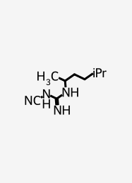 CC(C)CCC(C)NC(=N)NC#N